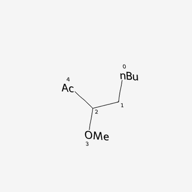 CCCCCC(OC)C(C)=O